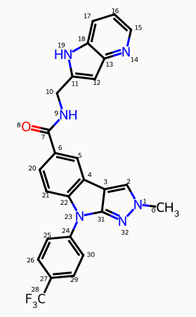 Cn1cc2c3cc(C(=O)NCc4cc5ncccc5[nH]4)ccc3n(-c3ccc(C(F)(F)F)cc3)c2n1